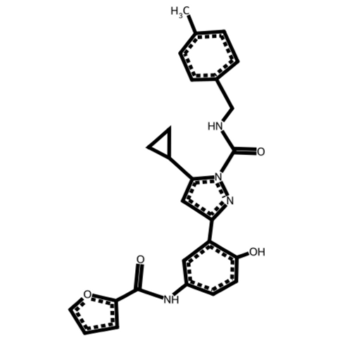 Cc1ccc(CNC(=O)n2nc(-c3cc(NC(=O)c4ccco4)ccc3O)cc2C2CC2)cc1